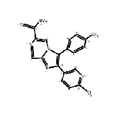 CNC(=O)c1cn2c(-c3ccc(C)cc3)c(-c3ccc(Cl)nc3)nc2cn1